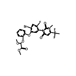 COC(=O)C(OC)Oc1ccccc1Oc1cc(-n2c(=O)cc(C(C)(F)F)n(C)c2=O)c(F)cc1Br